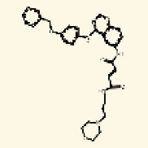 O=C(C=CC(=O)Nc1ccc2ncnc(Nc3ccc(OCc4ccccc4)cc3)c2c1)NCCCN1CCOCC1